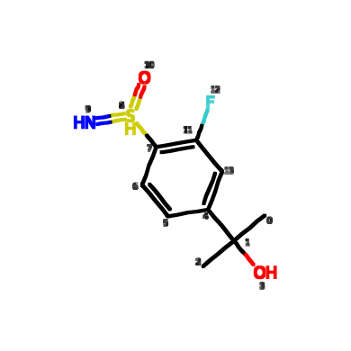 CC(C)(O)c1ccc([SH](=N)=O)c(F)c1